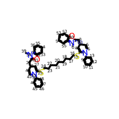 C[n+]1c(/C=C2/C=CN(c3ccccc3)C(SCCCCCCCCCSC3=CC(Cc4oc5ccccc5[n+]4C)C=CN3c3ccccc3)=C2)oc2ccccc21